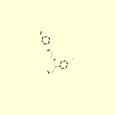 COc1ccc(C(CC(=O)O)NC(=O)CCC(=O)Nc2ccc(C=NN)cc2)c(O)c1